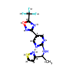 CC(Nc1ncc(-c2noc(C(F)(F)F)n2)cn1)c1ccsn1